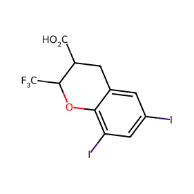 O=C(O)C1Cc2cc(I)cc(I)c2OC1C(F)(F)F